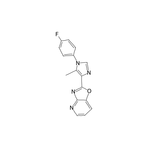 Cc1c(-c2nc3ncccc3o2)ncn1-c1ccc(F)cc1